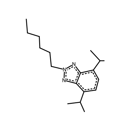 CCCCCCn1nc2c(C(C)C)ccc(C(C)C)c2n1